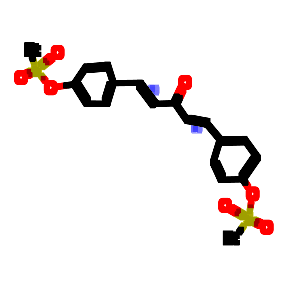 CCS(=O)(=O)Oc1ccc(/C=C/C(=O)/C=C/c2ccc(OS(=O)(=O)CC)cc2)cc1